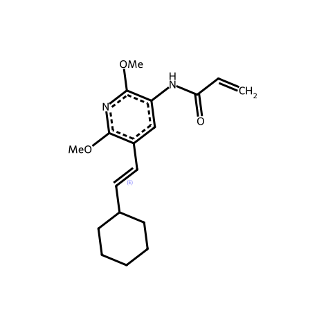 C=CC(=O)Nc1cc(/C=C/C2CCCCC2)c(OC)nc1OC